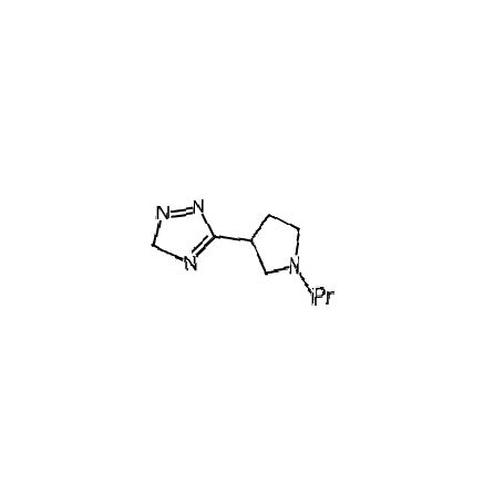 CC(C)N1CCC(C2=NCN=N2)C1